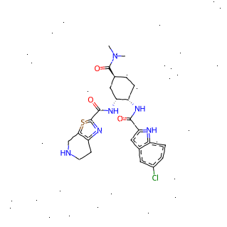 CN(C)C(=O)[C@H]1CC[C@H](NC(=O)c2cc3cc(Cl)ccc3[nH]2)[C@H](NC(=O)c2nc3c(s2)CNCC3)C1